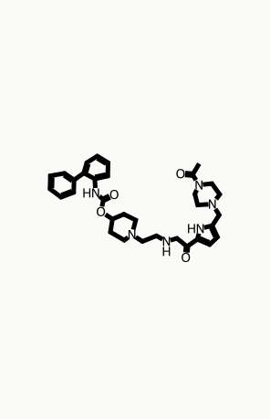 CC(=O)N1CCN(Cc2ccc(C(=O)CNCCN3CCC(OC(=O)Nc4ccccc4-c4ccccc4)CC3)[nH]2)CC1